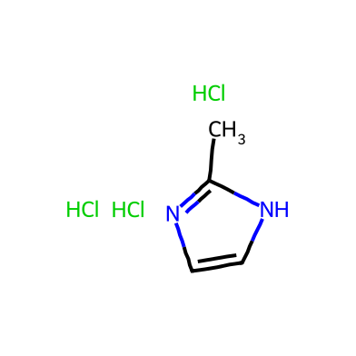 Cc1ncc[nH]1.Cl.Cl.Cl